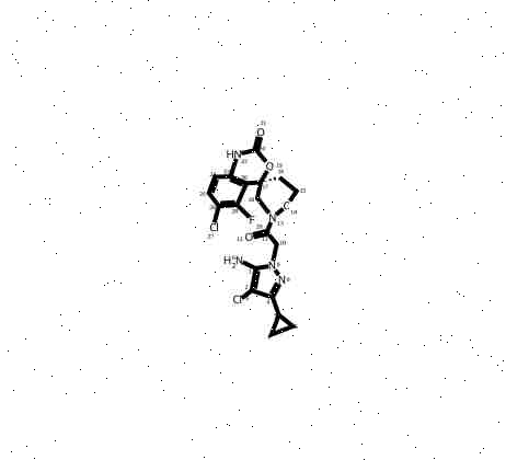 Nc1c(Cl)c(C2CC2)nn1CC(=O)N1CCC[C@@]2(C1)OC(=O)Nc1ccc(Cl)c(F)c12